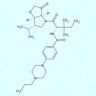 CCCN1CCN(c2ccc(C(=O)N[C@H](C(=O)N3C[C@H](C(C)C)[C@H]4OCC(=O)[C@H]43)C(C)(C)CC)cc2)CC1